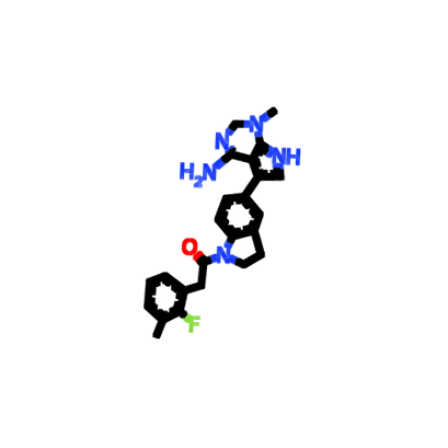 Cc1cccc(CC(=O)N2CCc3cc(-c4c[nH]c5c4C(N)=NCN5C)ccc32)c1F